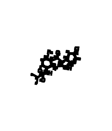 CC(C)S(=O)(=O)Nc1ccc(F)c(C(=O)c2c[nH]c3ncc(Cl)cc23)c1F